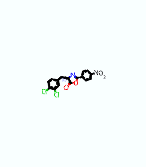 O=C1OC(c2ccc([N+](=O)[O-])cc2)=N/C1=C/c1ccc(Cl)c(Cl)c1